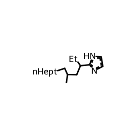 CCCCCCCCC(C)CC(CC)c1ncc[nH]1